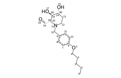 CCCCCOc1ccc(CN2CC[C@@H](O)[C@H](O)[C@H]2C=O)cc1